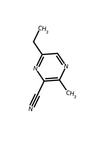 CCc1cnc(C)c(C#N)n1